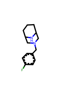 Fc1ccc(CN2CC3CCCC(C2)N3)cc1